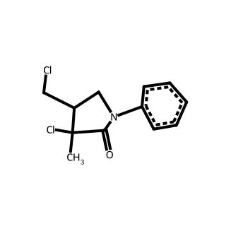 CC1(Cl)C(=O)N(c2ccccc2)CC1CCl